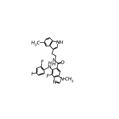 Cc1ccc2[nH]cc(CCNC(=O)c3cc4c(ncn4C)c(F)c3Nc3ccc(I)cc3F)c2c1